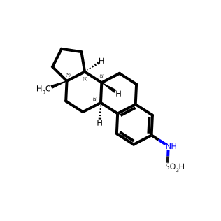 C[C@@]12CCC[C@H]1[C@@H]1CCc3cc(NS(=O)(=O)O)ccc3[C@H]1CC2